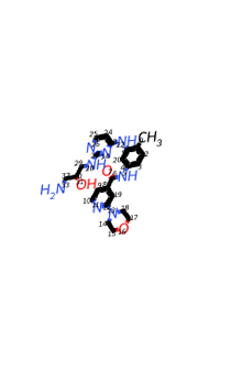 Cc1ccc(NC(=O)c2ccnc(N3CCOCC3)c2)cc1Nc1ccnc(NCC(O)CN)n1